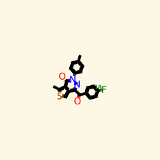 Cc1ccc(-n2nc(C(=O)c3ccc([18F])cc3)c3csc(C)c3c2=O)cc1